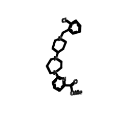 COC(=O)c1cccc(N2CCCN(C3CCN(Cc4ccccc4Cl)CC3)CC2)n1